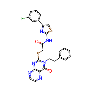 O=C(CSc1nc2nccnc2c(=O)n1CCc1ccccc1)Nc1nc(-c2cccc(F)c2)cs1